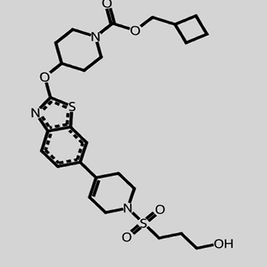 O=C(OCC1CCC1)N1CCC(Oc2nc3ccc(C4=CCN(S(=O)(=O)CCCO)CC4)cc3s2)CC1